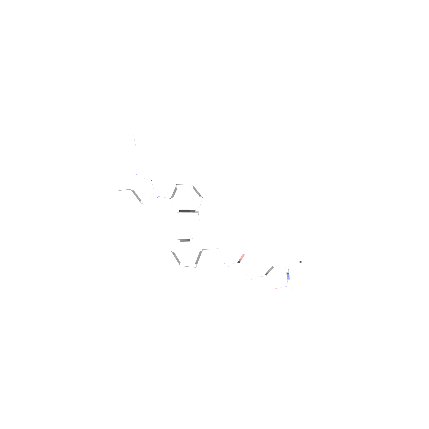 COCN1C(C)=CN2c3cc(Oc4ccccc4CNC(=O)Nc4cc(C(C)(C)C)no4)ccc3SC12